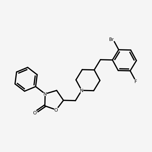 O=C1OC(CN2CCC(Cc3cc(F)ccc3Br)CC2)CN1c1ccccc1